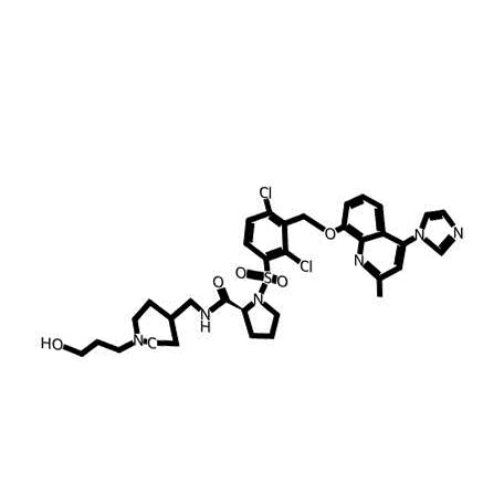 Cc1cc(-n2ccnc2)c2cccc(OCc3c(Cl)ccc(S(=O)(=O)N4CCC[C@H]4C(=O)NCC4CCN(CCCO)CC4)c3Cl)c2n1